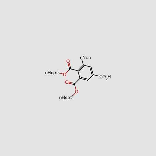 CCCCCCCCCc1cc(C(=O)O)cc(C(=O)OCCCCCCC)c1C(=O)OCCCCCCC